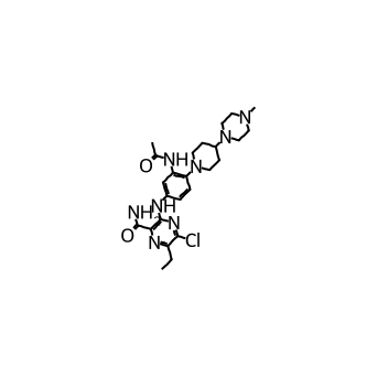 CCc1nc(C(N)=O)c(Nc2ccc(N3CCC(N4CCN(C)CC4)CC3)c(NC(C)=O)c2)nc1Cl